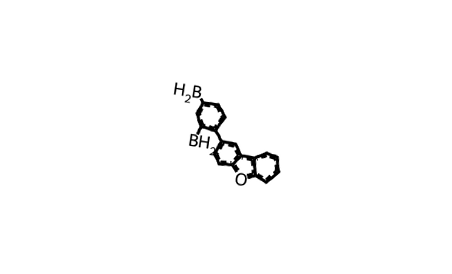 Bc1ccc(-c2ccc3oc4ccccc4c3c2)c(B)c1